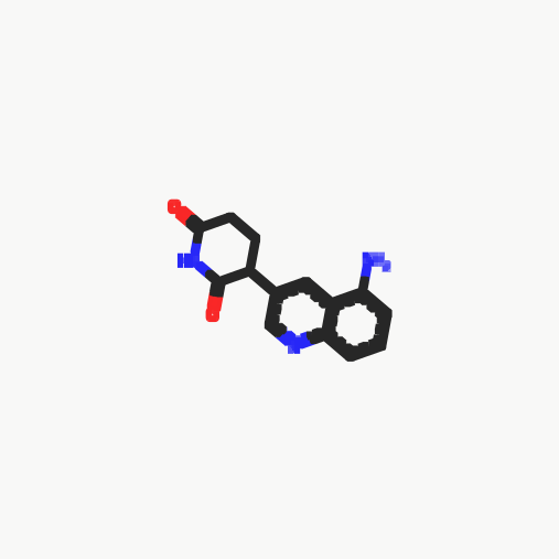 Nc1cccc2ncc(C3CCC(=O)NC3=O)cc12